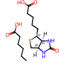 CCCCCC(=O)O.O=C(O)CCCC[C@@H]1SC[C@@H]2NC(=O)N[C@@H]21